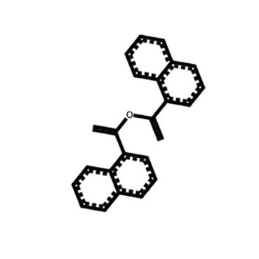 C=C(OC(=C)c1cccc2ccccc12)c1cccc2ccccc12